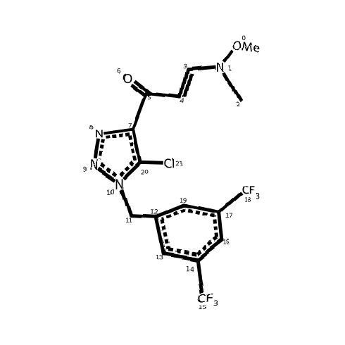 CON(C)C=CC(=O)c1nnn(Cc2cc(C(F)(F)F)cc(C(F)(F)F)c2)c1Cl